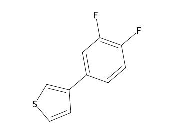 Fc1ccc(-c2ccsc2)cc1F